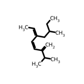 C=C(/C=C\C(=C/C)CC(C)CC)C(C)C